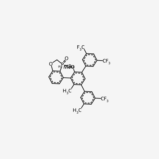 COc1c(-c2cc(C(F)(F)F)cc(C(F)(F)F)c2)cc(-c2cc(C)cc(C(F)(F)F)c2)c(C)c1-c1cccc2c1[P@](=O)(C(C)(C)C)CO2